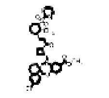 COC(=O)c1ccc2c(c1)N(C[C@@H]1CC[C@H]1C(=O)/C=C/[C@H]1CCC[C@H](S(=O)(=O)c3ncccn3)[C@@H]1C)C[C@]1(CCCc3cc(Cl)ccc31)CO2